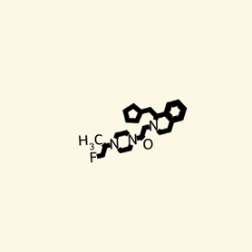 CC(CF)N1CCN(C(=O)CN2CCc3ccccc3C2CC2CCCC2)CC1